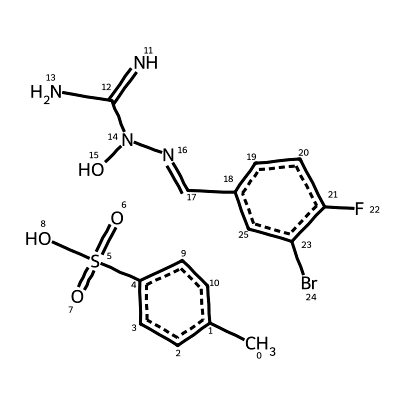 Cc1ccc(S(=O)(=O)O)cc1.N=C(N)N(O)N=Cc1ccc(F)c(Br)c1